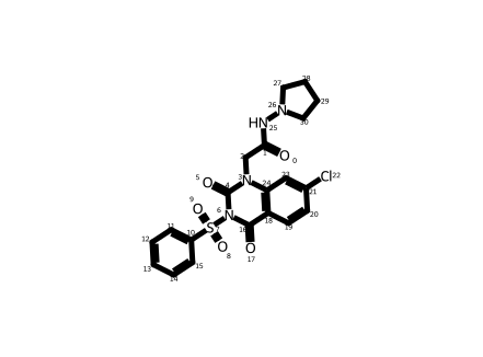 O=C(Cn1c(=O)n(S(=O)(=O)c2ccccc2)c(=O)c2ccc(Cl)cc21)NN1CCCC1